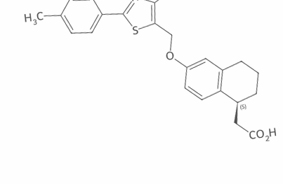 Cc1ccc(-c2nc(C)c(COc3ccc4c(c3)CCC[C@H]4CC(=O)O)s2)cc1